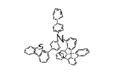 c1ccc(-c2ccc(N(c3ccc(-c4cccc5c4sc4ccccc45)cc3)c3cccc4c3-c3ccccc3C43c4ccccc4-c4cccc(-c5ccccc5)c43)cc2)cc1